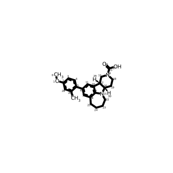 COc1ccc(-c2cc3c4c(c2)[C@@H]2CN(C(=O)O)CC[C@@H]2N4CCCC3)c(C)c1